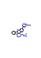 CN/C=C(\C=N)c1ccc2c3c4c(nc2c1)c1ccccc1n4CCCN3CCN(C)C